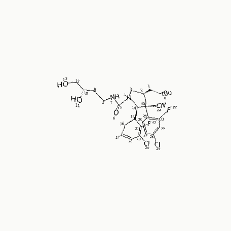 CC(C)(C)C[C@@H]1CN(C(=O)NCC[C@H](O)CO)[C@H](C2CC=CC(Cl)=C2F)[C@@]1(C#N)c1ccc(Cl)cc1F